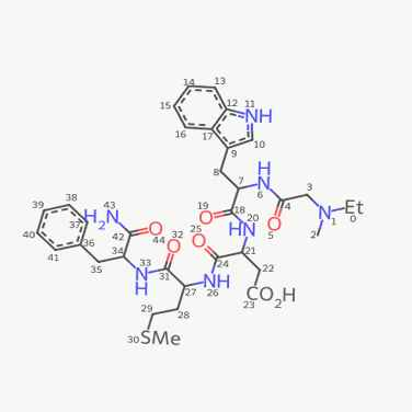 CCN(C)CC(=O)NC(Cc1c[nH]c2ccccc12)C(=O)NC(CC(=O)O)C(=O)NC(CCSC)C(=O)NC(Cc1ccccc1)C(N)=O